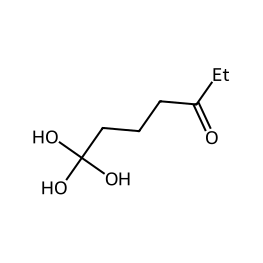 CCC(=O)CCCC(O)(O)O